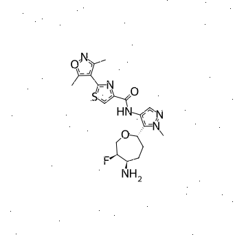 Cc1noc(C)c1-c1nc(C(=O)Nc2cnn(C)c2[C@@H]2CC[C@@H](N)[C@@H](F)CO2)cs1